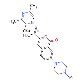 CCCCC1C(C)=NC(C)=CN1/C=C(\C)c1cc2ccc(N3CCN(C(C)C)CC3)cc2c(=O)o1